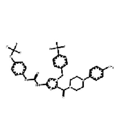 Cc1ccc(N2CCN(C(=O)c3nc(NC(=O)Nc4ccc(OC(F)(F)F)cc4)cn3Cc3ccc(C(F)(F)F)cc3)CC2)cc1